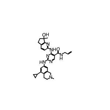 C=CCNC(=O)c1cnc(Nc2cc3c(c(C4CC4)c2)CCN(C)C3)nc1Nc1ccc2c(n1)C(C)(O)CC2